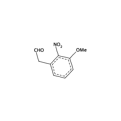 COc1cccc(CC=O)c1[N+](=O)[O-]